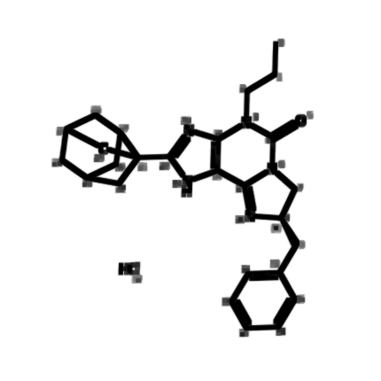 CCCN1C(=O)N2C[C@@H](Cc3ccccc3)N=C2c2[nH]c(C34CC5CC(CC3C5)C4)nc21.Cl